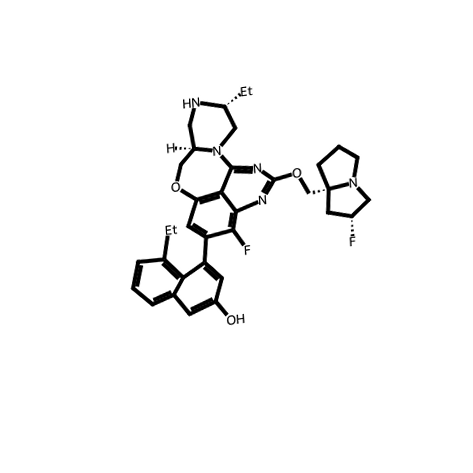 CCc1cccc2cc(O)cc(-c3cc4c5c(nc(OC[C@]67CCCN6C[C@H](F)C7)nc5c3F)N3C[C@@H](CC)NC[C@@H]3CO4)c12